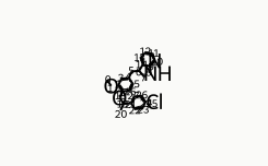 COc1cc(CC2CNc3ncccc32)ccc1OC(C)c1ccc(Cl)cc1